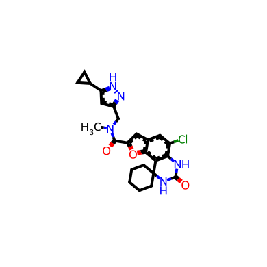 CN(Cc1cc(C2CC2)[nH]n1)C(=O)c1cc2cc(Cl)c3c(c2o1)C1(CCCCC1)NC(=O)N3